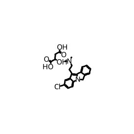 CN(C)CCc1c2n(c3ccc(Cl)cc13)Cc1ccccc1-2.O=C(O)CC(O)C(=O)O